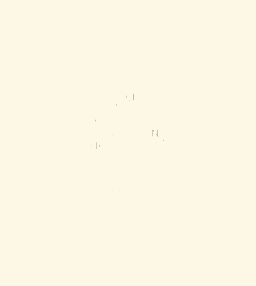 COc1cc(-c2nscc2-c2ccc(O)cc2)cc(O)c1O